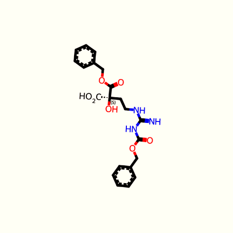 N=C(NCC[C@](O)(C(=O)O)C(=O)OCc1ccccc1)NC(=O)OCc1ccccc1